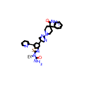 CCN(C(N)=O)c1nc2cc(-c3cnc(N4CCC(C(N)=O)(c5ccccc5)CC4)nc3)cc(-c3ccccn3)c2s1